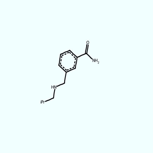 CC(C)CNCc1cccc(C(N)=O)c1